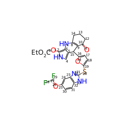 CCOC(=O)Oc1[nH]cc2c1NC1=C(C(=O)CCC1)C2c1ccc(Sc2nc3cc(OC(F)F)ccc3[nH]2)o1